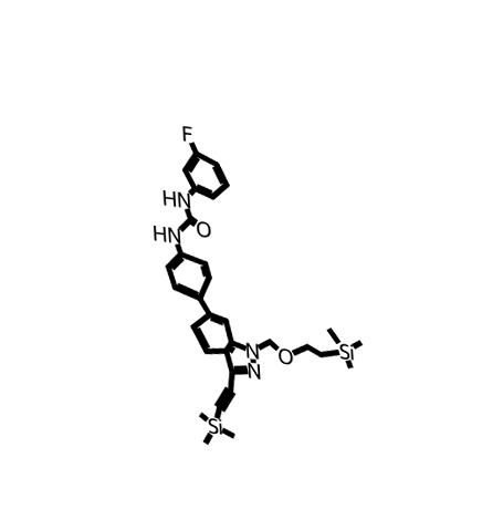 C[Si](C)(C)C#Cc1nn(COCC[Si](C)(C)C)c2cc(-c3ccc(NC(=O)Nc4cccc(F)c4)cc3)ccc12